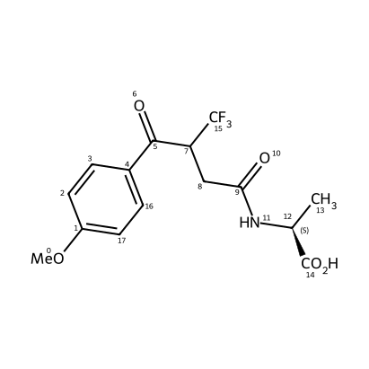 COc1ccc(C(=O)C(CC(=O)N[C@@H](C)C(=O)O)C(F)(F)F)cc1